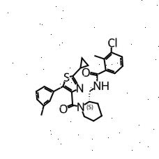 Cc1cccc(-c2sc(C3CC3)nc2C(=O)N2CCCC[C@H]2CNC(=O)c2cccc(Cl)c2C)c1